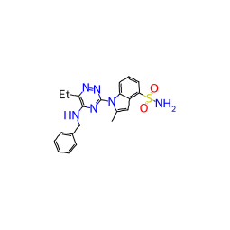 CCc1nnc(-n2c(C)cc3c(S(N)(=O)=O)cccc32)nc1NCc1ccccc1